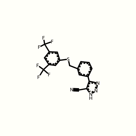 N#Cc1[nH]nnc1-c1cccc(CSc2cc(C(F)(F)F)cc(C(F)(F)F)c2)c1